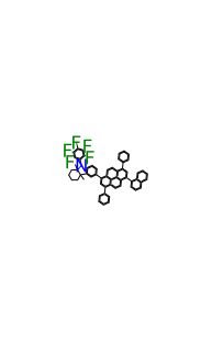 CC12CCCCC1(C)N(c1c(F)c(F)c(F)c(F)c1F)c1ccc(-c3cc(-c4ccccc4)c4ccc5c(-c6cccc7ccccc67)cc(-c6ccccc6)c6ccc3c4c65)cc12